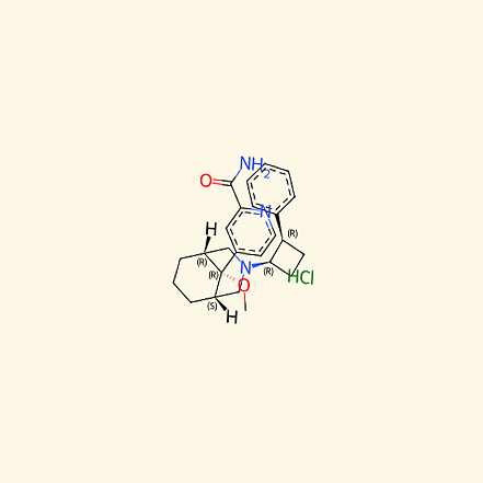 CO[C@@]1(c2ccnc(C(N)=O)c2)[C@@H]2CCC[C@H]1CN([C@@H]1CC[C@@H]1c1ccccc1)C2.Cl